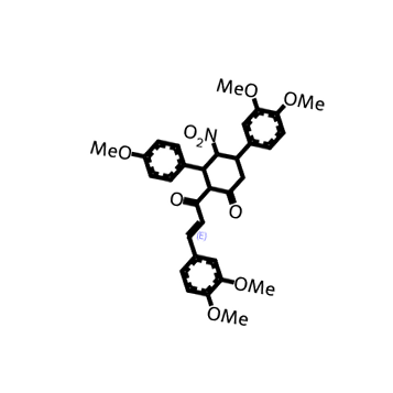 COc1ccc(C2C(C(=O)/C=C/c3ccc(OC)c(OC)c3)C(=O)CC(c3ccc(OC)c(OC)c3)C2[N+](=O)[O-])cc1